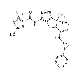 Cc1cc(C(=O)Nc2n[nH]c3c2CN(C(=O)NC2CC2c2ccccc2)C3(C)C)n(C)n1